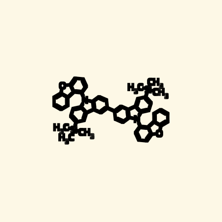 C[Si](C)(C)c1ccc2c(c1)c1cc(-c3ccc4c(c3)c3cc([Si](C)(C)C)ccc3n4-c3cccc4oc5ccccc5c34)ccc1n2-c1cccc2oc3ccccc3c12